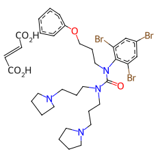 O=C(N(CCCN1CCCC1)CCCN1CCCC1)N(CCCOc1ccccc1)c1c(Br)cc(Br)cc1Br.O=C(O)C=CC(=O)O